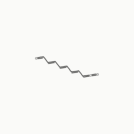 O=C=CC=CC=CC=CC=O